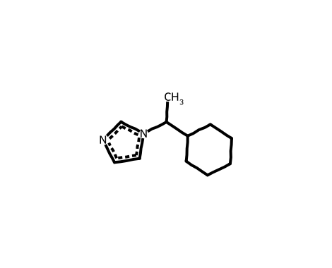 CC(C1CCCCC1)n1ccnc1